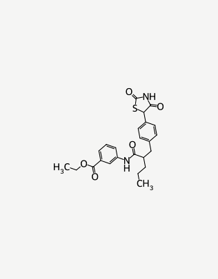 CCCC(Cc1ccc(C2SC(=O)NC2=O)cc1)C(=O)Nc1cccc(C(=O)OCC)c1